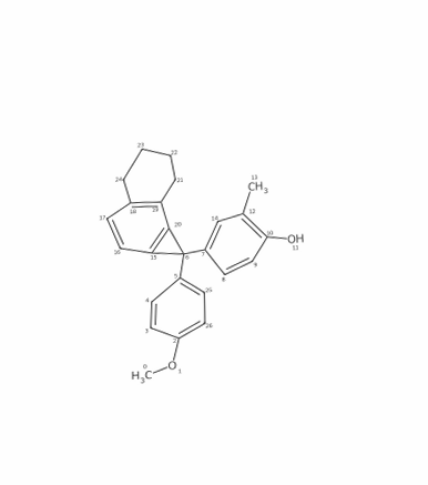 COc1ccc(C2(c3ccc(O)c(C)c3)c3ccc4c(c32)CCCC4)cc1